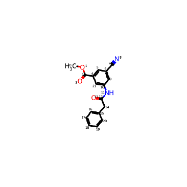 COC(=O)c1cc(C#N)cc(NC(=O)Cc2ccccc2)c1